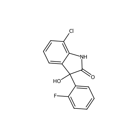 O=C1Nc2c(Cl)cccc2C1(O)c1ccccc1F